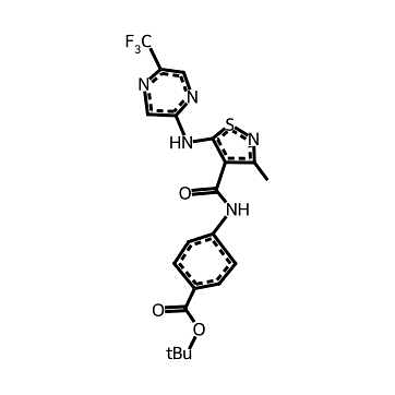 Cc1nsc(Nc2cnc(C(F)(F)F)cn2)c1C(=O)Nc1ccc(C(=O)OC(C)(C)C)cc1